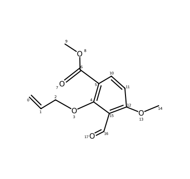 C=CCOc1c(C(=O)OC)ccc(OC)c1C=O